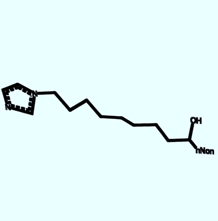 CCCCCCCCCC(O)CCCCCCCCn1ccnc1